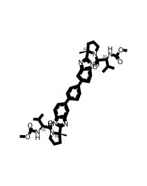 COC(=O)N[C@H](C(=O)N1CCC[C@@]1(C)c1nc2cc(-c3ccc(-c4ccc5[nH]c([C@]6(C)CCCN6C(=O)[C@@H](NC(=O)OC)C(C)C)nc5c4)cc3)ccc2[nH]1)C(C)C